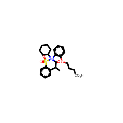 CC1C(=O)[N+](c2ccccc2OCCCC(=O)O)(C2CCCCC2)S(=O)(=O)c2ccccc21